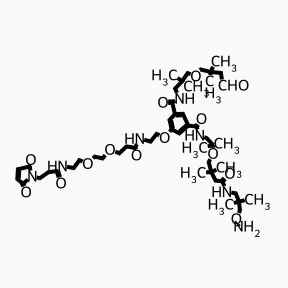 CC(C)(CNC(=O)CC(C)(C)COC(C)(C)CNC(=O)c1cc(OCCNC(=O)CCOCCOCCNC(=O)CCN2C(=O)C=CC2=O)cc(C(=O)NCC(C)(C)COCC(C)(C)CC=O)c1)CON